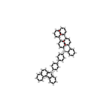 c1ccc(-c2ccc(-c3ccccc3N(c3ccc(-c4ccccc4)cc3)c3ccc(-c4ccc(-n5c6ccccc6c6c7ccccc7ccc65)cc4)cc3)cc2)cc1